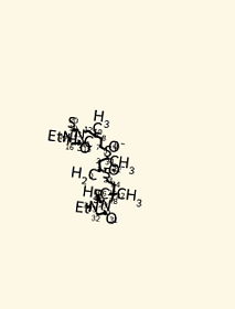 C=C(CC(C)[S+]([O-])CCC(C)(C)CN1C(=O)CN(CC)C1=S)[S+]([O-])CCC(C)(C)CN1C(=O)CN(CC)C1=S